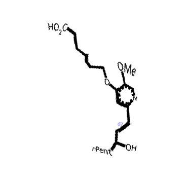 CCCCCC(O)/C=C/c1cc(OCCCCCC(=O)O)c(OC)cn1